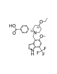 CCO[C@H]1CCN(Cc2c(OC)cc(C(F)(F)F)c3[nH]ccc23)[C@H](c2ccc(C(=O)O)cc2)C1